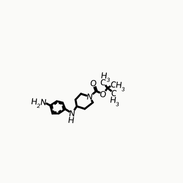 CC(C)(C)OC(=O)N1CCC(Nc2ccc(N)cc2)CC1